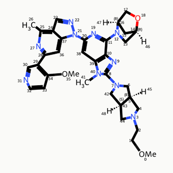 COCCN1C[C@@H]2CN(c3nc4c(N5C[C@H]6C[C@@H]5CO6)nc(-n5ncc6c(C)nc(-c7cnccc7OC)cc65)cc4n3C)C[C@@H]2C1